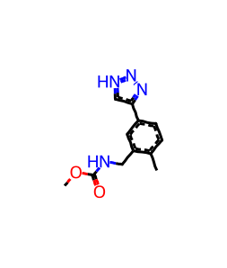 COC(=O)NCc1cc(-c2c[nH]nn2)ccc1C